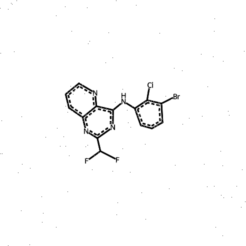 FC(F)c1nc(Nc2cccc(Br)c2Cl)c2ncccc2n1